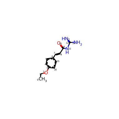 CCOc1ccc(C=CC(=O)NC(=N)N)cc1